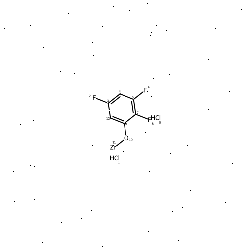 Cl.Cl.Fc1cc(F)c(F)c([O][Zr])c1